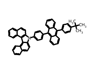 CC(C)(C)c1ccc(-c2c3ccccc3c(-c3ccc(-n4c5ccc6ccccc6c5c5c6ccccc6ccc54)cc3)c3ccccc23)cc1